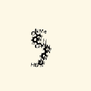 CNC(=O)c1ccnc2c(C(C)CCNc3cc(-c4ccc(N5CC[C@@H](O)C5)nc4)ncn3)cccc12